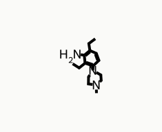 CCc1ccc(N2CCN(C)CC2)c(CC)c1N